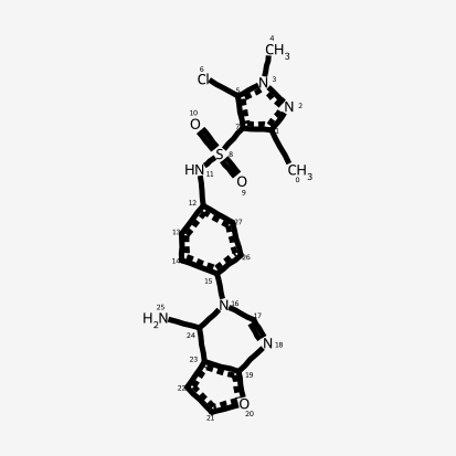 Cc1nn(C)c(Cl)c1S(=O)(=O)Nc1ccc(N2C=Nc3occc3C2N)cc1